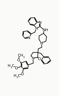 COc1cc(CN2CCC(CCN3CCC(Nc4nc5ccccc5n4Cc4ccccn4)CC3)(Cc3ccccc3)C2=O)cc(OC)c1OC